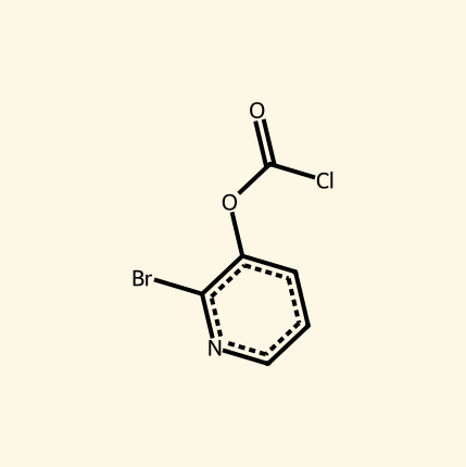 O=C(Cl)Oc1cccnc1Br